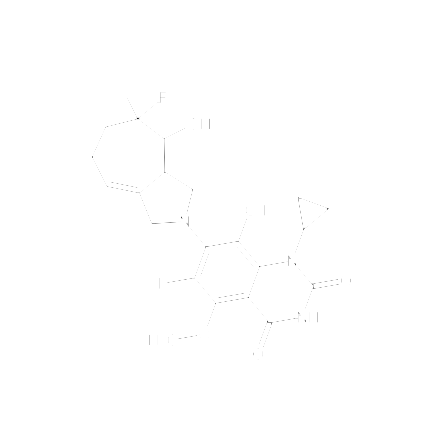 COc1c(F)c(N2CC3=CCCC(F)(F)C(O)C3C2)c(C)c2c1c(=O)[nH]c(=O)n2C1CC1